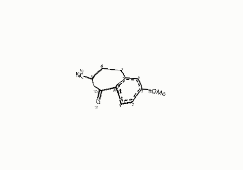 COc1ccc2c(c1)CCC(C#N)C2=O